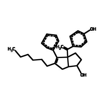 C=C(c1ccc(O)cc1)C12CCC(O)C1CC(CCCCCC)=C2c1ccccc1